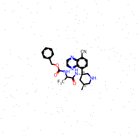 C[C@@H]1CNC[C@](NC(=O)C(NC(=O)OCc2ccccc2)C(F)(F)F)(c2ccc(C#N)c3nccnc23)C1